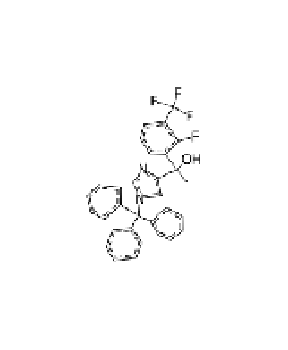 CC(O)(c1cn(C(c2ccccc2)(c2ccccc2)c2ccccc2)cn1)c1cccc(C(F)(F)F)c1F